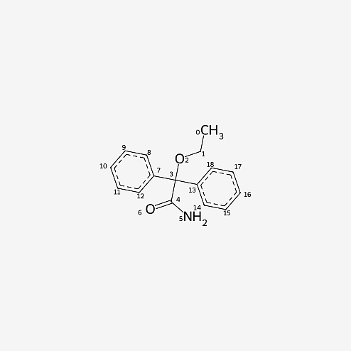 CCOC(C(N)=O)(c1ccccc1)c1ccccc1